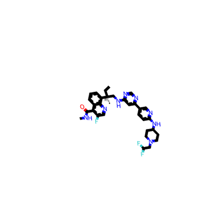 CC[C@@](C)(CNc1cc(-c2ccc(NC3CCN(CC(F)F)CC3)nc2)ncn1)c1cccc2c(C(=O)NC)c(F)cnc12